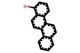 Brc1cccc2c1ccc1c3ccccc3ccc21